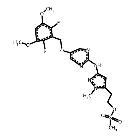 COc1cc(OC)c(F)c(COc2cnc(Nc3cc(CCOS(C)(=O)=O)n(C)n3)nc2)c1F